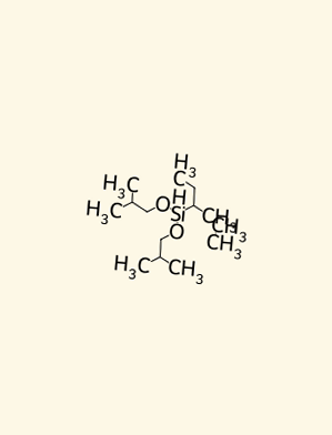 CC.CCC(C)[SiH](OCC(C)C)OCC(C)C